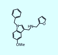 COc1ccc2c(c1)c(CNCc1ccco1)cn2Cc1ccccc1